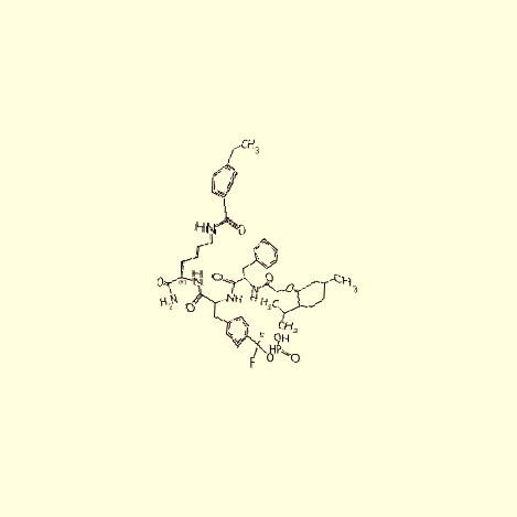 CCc1ccc(C(=O)NCCCC[C@@H](NC(=O)C(Cc2ccc(C(F)(F)O[PH](=O)O)cc2)NC(=O)C(Cc2ccccc2)NC(=O)COC2CC(C)CCC2C(C)C)C(N)=O)cc1